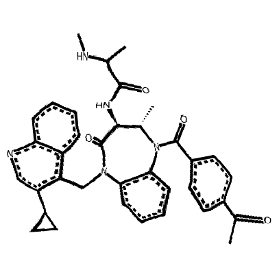 CNC(C)C(=O)N[C@@H]1C(=O)N(Cc2c(C3CC3)cnc3ccccc23)c2ccccc2N(C(=O)c2ccc(C(C)=O)cc2)[C@H]1C